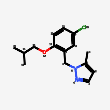 Cc1ccnn1Cc1cc(Cl)ccc1OCC(C)C